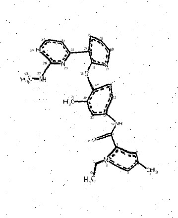 CCn1cc(C)cc1C(=O)Nc1ccc(Oc2ncccc2-c2ccnc(NC)n2)c(C)c1